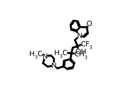 CN1CCN(Cc2cccc(C(C)(C)CC(O)(Cn3ccc(=O)c4ccccc43)C(F)(F)F)c2)CC1